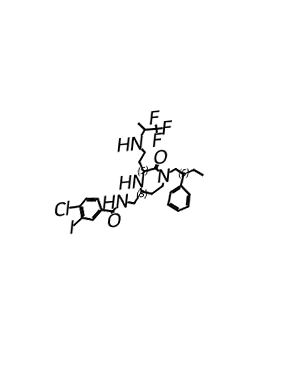 CC[C@H](CN1CC[C@@H](CNC(=O)c2ccc(Cl)c(I)c2)N[C@@H](CCNC(C)C(F)(F)F)C1=O)c1ccccc1